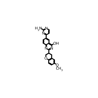 COc1ccc2c(c1)CC(c1nc(O)c3cc(-c4ccnc(N)n4)ccc3n1)CO2